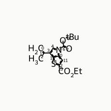 C=C(C)c1cn(C(=O)OC(C)(C)C)c2cc(C(=O)OCC)sc12